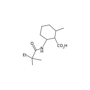 CCC(C)(C)C(=O)NC1CCCC(C)C1C(=O)O